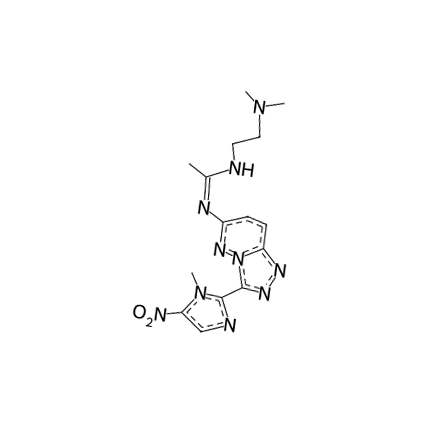 CC(=Nc1ccc2nnc(-c3ncc([N+](=O)[O-])n3C)n2n1)NCCN(C)C